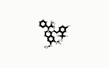 COc1cc2c(cc1OC)[C@H](CCc1ccc(F)cc1C(F)(F)F)N(C(C(N)=O)c1ccccc1)CC2